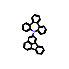 c1ccc2c(c1)-c1ccccc1N(c1cc3c4c(cccc4c1)-c1ccccc1-3)c1ccccc1-2